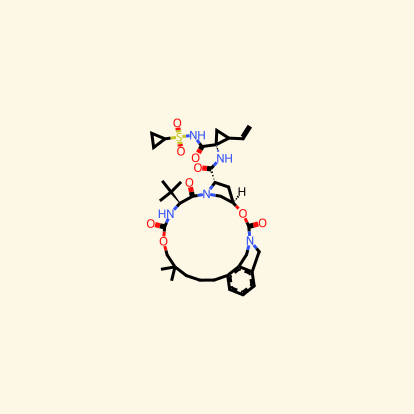 C=CC1C[C@]1(NC(=O)[C@@H]1C[C@@H]2CN1C(=O)[C@H](C(C)(C)C)NC(=O)OCC(C)(C)CCCc1cccc3c1CN(C3)C(=O)O2)C(=O)NS(=O)(=O)C1CC1